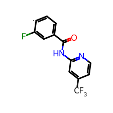 O=C(Nc1cc(C(F)(F)F)ccn1)c1cc[c]c(F)c1